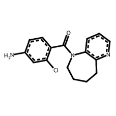 Nc1ccc(C(=O)N2CCCCc3ncccc32)c(Cl)c1